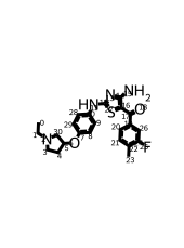 CCN1CCC(Oc2ccc(Nc3nc(N)c(C(=O)c4ccc(C)c(F)c4)s3)cc2)C1